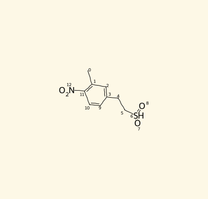 Cc1cc(CC[SH](=O)=O)ccc1[N+](=O)[O-]